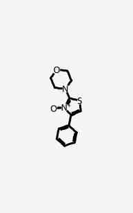 [O-][n+]1c(-c2ccccc2)csc1N1CCOCC1